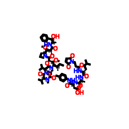 CC[C@H](C)[C@@H]([C@@H](CC(=O)N1CCC[C@H]1[C@H](OC)[C@@H](C)C(=O)N[C@H](C)[C@@H](O)c1ccccc1)OC)N(C)C(=O)[C@@H](NC(=O)[C@H](C(C)C)N(C)C(=O)OCc1ccc(NC(=O)[C@H](CC(=O)O)NC(=O)[C@H](C)NC(=O)[C@@H](CCC(C)C)NC(=O)CCN2C(=O)C=CC2=O)cc1)C(C)C